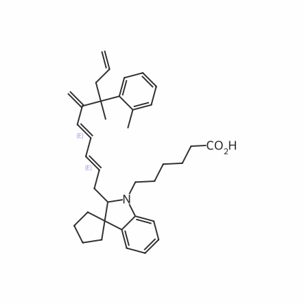 C=CCC(C)(C(=C)/C=C/C=C/CC1N(CCCCCC(=O)O)c2ccccc2C12CCCC2)c1ccccc1C